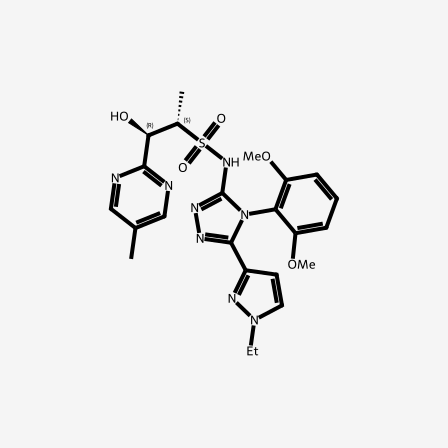 CCn1ccc(-c2nnc(NS(=O)(=O)[C@@H](C)[C@H](O)c3ncc(C)cn3)n2-c2c(OC)cccc2OC)n1